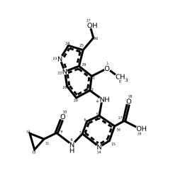 COc1c(Nc2cc(NC(=O)C3CC3)ncc2C(=O)O)ccn2ncc(CO)c12